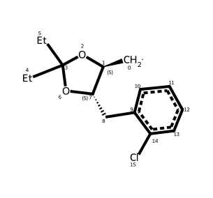 [CH2][C@@H]1OC(CC)(CC)O[C@H]1Cc1ccccc1Cl